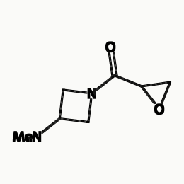 CNC1CN(C(=O)C2CO2)C1